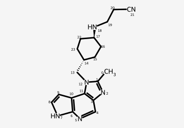 Cc1nc2cnc3[nH]ccc3c2n1C[C@H]1CC[C@H](NCCC#N)CC1